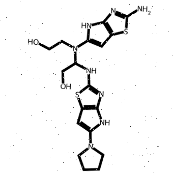 Nc1nc2[nH]c(N(CCO)C(CO)Nc3nc4[nH]c(N5CCCC5)cc4s3)cc2s1